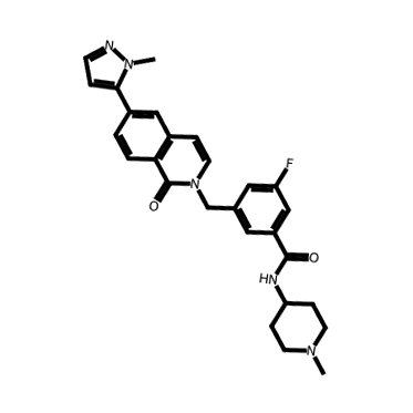 CN1CCC(NC(=O)c2cc(F)cc(Cn3ccc4cc(-c5ccnn5C)ccc4c3=O)c2)CC1